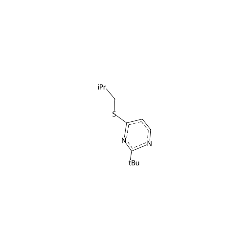 CC(C)CSc1ccnc(C(C)(C)C)n1